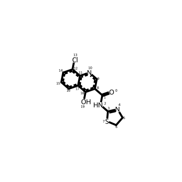 O=C(NC1=NCCS1)c1cnc2c(Cl)cccc2c1O